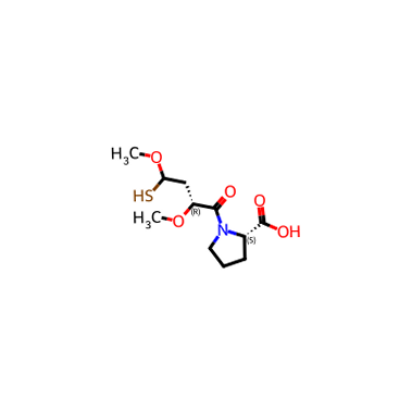 COC(S)C[C@@H](OC)C(=O)N1CCC[C@H]1C(=O)O